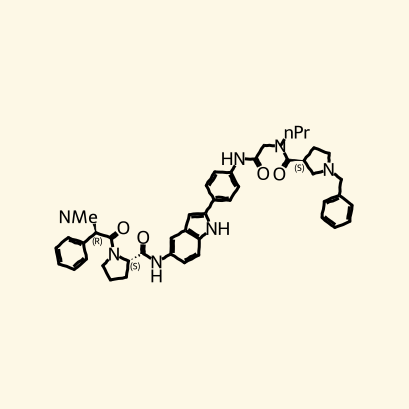 CCCN(CC(=O)Nc1ccc(-c2cc3cc(NC(=O)[C@@H]4CCCN4C(=O)[C@H](NC)c4ccccc4)ccc3[nH]2)cc1)C(=O)[C@H]1CCN(Cc2ccccc2)C1